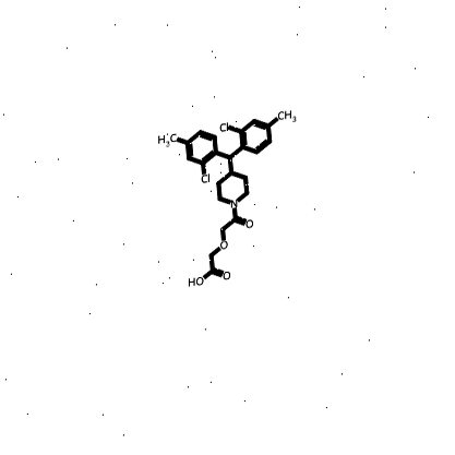 Cc1ccc(C(c2ccc(C)cc2Cl)C2CCN(C(=O)COCC(=O)O)CC2)c(Cl)c1